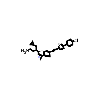 C/C(=C/[C@@H](C)C(CCN)CC1CC1)c1ccc(C#Cc2ccc(-c3ccc(Cl)cc3)cn2)cc1